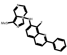 CSC1=C2C=NC=C[N+]2(Nc2ccc3ccc(-c4ccccc4)nc3c2F)C=N1